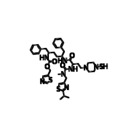 CC(C)c1nc(CN(C)C(=O)NC(CCN2CCN(S)CC2)C(=O)NC(CCC(Cc2ccccc2)NC(=O)OCc2cncs2)Cc2ccccc2)cs1